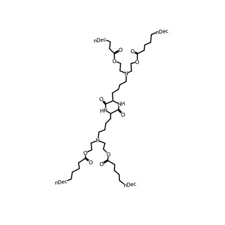 CCCCCCCCCCCCCCC(=O)OCCN(CCCCC1NC(=O)C(CCCCN(CCOC(=O)CCCCCCCCCCCCCC)CCOC(=O)CCCCCCCCCCCCCC)NC1=O)CCOC(=O)CCCCCCCCCCCC